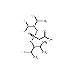 CC(C)N(OP(=O)(CC(=O)O)ON(C(C)C)C(C)C)C(C)C